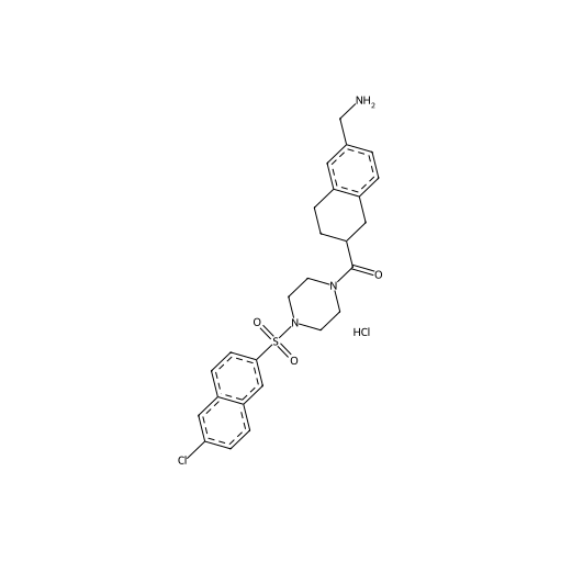 Cl.NCc1ccc2c(c1)CCC(C(=O)N1CCN(S(=O)(=O)c3ccc4cc(Cl)ccc4c3)CC1)C2